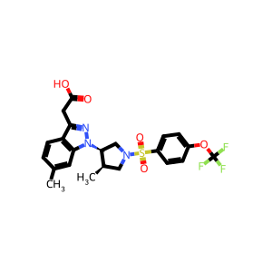 Cc1ccc2c(CC(=O)O)nn([C@H]3CN(S(=O)(=O)c4ccc(OC(F)(F)F)cc4)C[C@H]3C)c2c1